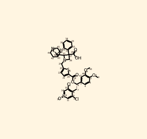 COc1ccc([C@H](Cc2c(Cl)c[n+]([O-])cc2Cl)OC(=O)c2ccc(CN3CC(C(=O)O)(c4ccccc4)C3[C@H]3CN4CCC3CC4)s2)cc1OC